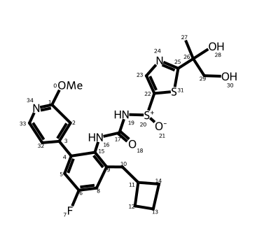 COc1cc(-c2cc(F)cc(CC3CCC3)c2NC(=O)N[S+]([O-])c2cnc(C(C)(O)CO)s2)ccn1